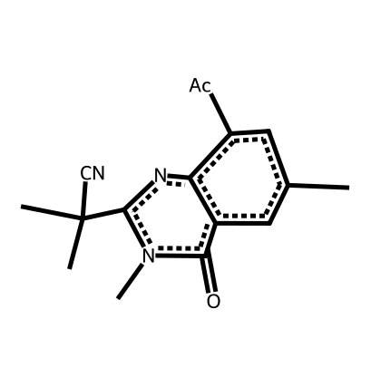 CC(=O)c1cc(C)cc2c(=O)n(C)c(C(C)(C)C#N)nc12